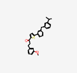 COc1cccc(CCC(=O)c2ccc(-c3cccc(Cc4cccc(C(C)C)c4)c3)s2)c1